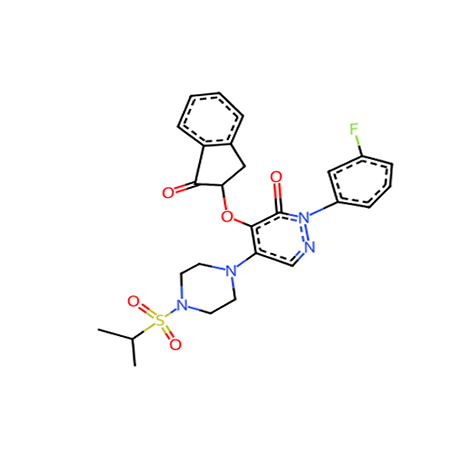 CC(C)S(=O)(=O)N1CCN(c2cnn(-c3cccc(F)c3)c(=O)c2OC2Cc3ccccc3C2=O)CC1